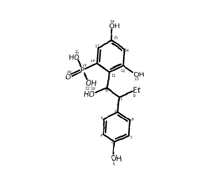 CCC(c1ccc(O)cc1)C(O)c1c(O)cc(O)cc1P(=O)(O)O